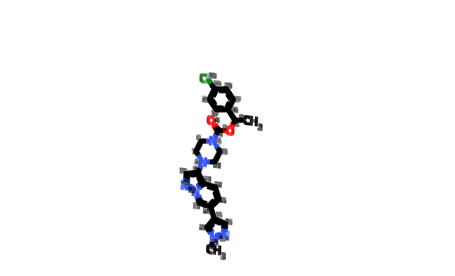 CC(OC(=O)N1CCN(c2cnn3cc(-c4cnn(C)c4)ccc23)CC1)c1ccc(Cl)cc1